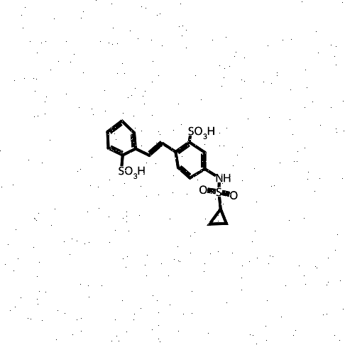 O=S(=O)(O)c1ccccc1C=Cc1ccc(NS(=O)(=O)C2CC2)cc1S(=O)(=O)O